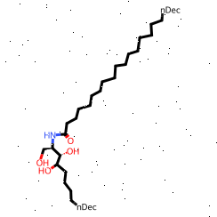 CCCCCCCCCCCCCCCCCCCCCCCCCCC(=O)N[C@H](CO)[C@H](O)C(O)CCCCCCCCCCCCCC